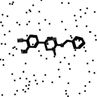 CN(C[C@H](O)c1ccc(O)c(O)c1)C(=O)OCc1ccccc1